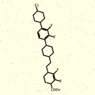 CCC1CCC(c2ccc(C3CCC(CCC4CCC(OC)C(F)=C4F)CC3)c(F)c2F)CC1